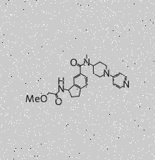 COCC(=O)NC1CCc2ccc(C(=O)N(C)C3CCN(c4ccncc4)CC3)cc21